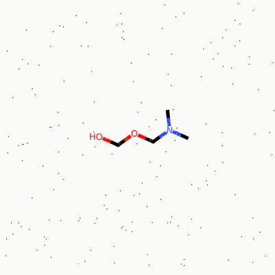 CN(C)COCO